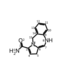 NC(=O)C1=CCC2=CNc3ccccc3CN21